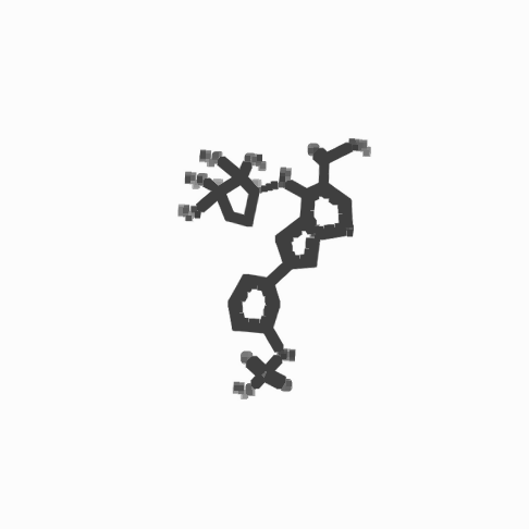 CC1(C)[C@H](Nc2c(C(N)=O)cnn3cc(-c4cccc(NS(C)(=O)=O)c4)cc23)CC[C@]1(C)N